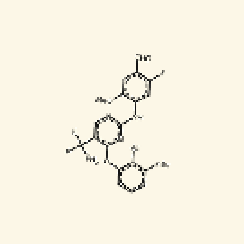 CCCCc1cccc(Oc2nc(Nc3cc(F)c(C=O)cc3OC)ncc2C(F)(F)P)c1C(C)=O